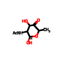 CC(=O)NC1C(O)C(=O)C(C)O[C@H]1O